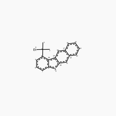 CCC(C)(C)c1cccc2sc3cc4ccccc4cc3c12